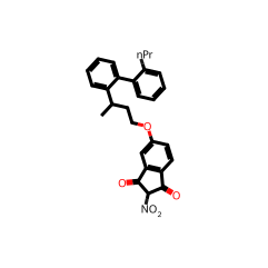 CCCc1ccccc1-c1ccccc1C(C)CCOc1ccc2c(c1)C(=O)C([N+](=O)[O-])C2=O